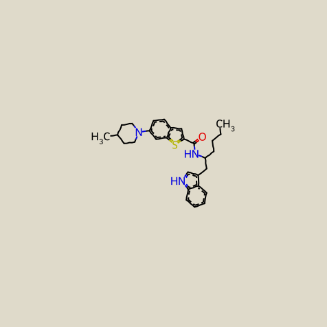 CCCCC(Cc1c[nH]c2ccccc12)NC(=O)c1cc2ccc(N3CCC(C)CC3)cc2s1